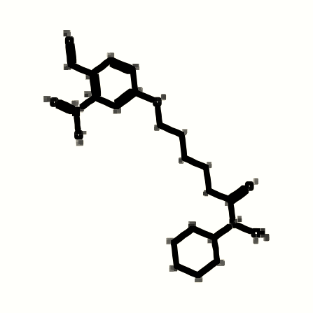 CN(C(=O)CCCCCOc1ccc(C=O)c([N+](=O)[O-])c1)C1CCCCC1